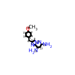 COc1ccc(Cc2cn3nc(N)cc(N)c3n2)cc1